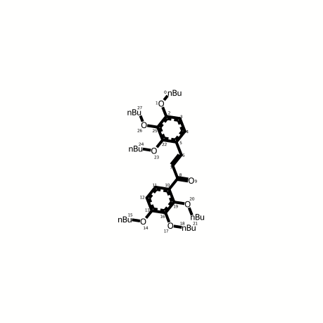 CCCCOc1ccc(/C=C/C(=O)c2ccc(OCCCC)c(OCCCC)c2OCCCC)c(OCCCC)c1OCCCC